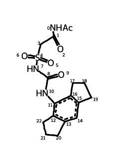 CC(=O)NC(=O)CS(=O)(=O)NC(=O)Nc1c2c(cc3c1CCC3)CCC2